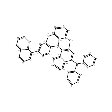 c1ccc(N(c2ccccc2)c2cc3c(c4ccccc24)B2c4ccc(-c5cccc6ccccc56)cc4Oc4cccc(c42)O3)cc1